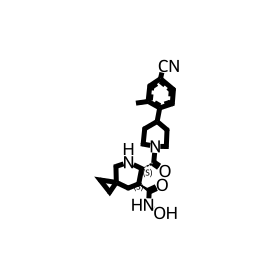 Cc1cc(C#N)ccc1C1CCN(C(=O)[C@H]2NCC3(CC3)C[C@@H]2C(=O)NO)CC1